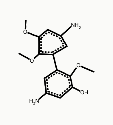 COc1cc(N)cc(-c2cc(N)cc(O)c2OC)c1OC